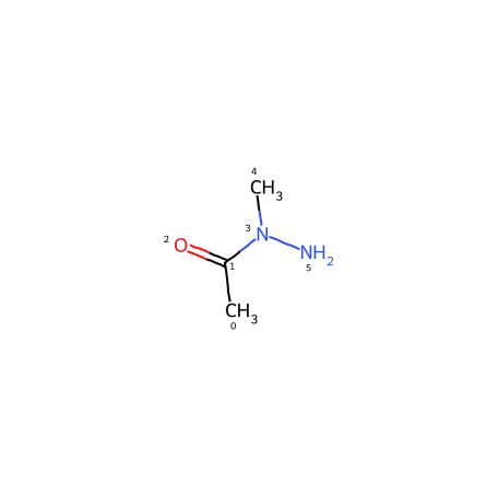 CC(=O)N(C)N